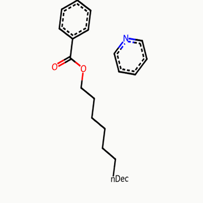 CCCCCCCCCCCCCCCCOC(=O)c1ccccc1.c1ccncc1